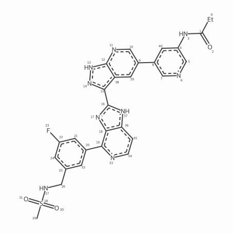 CCC(=O)Nc1cncc(-c2cnc3[nH]nc(-c4nc5c(-c6cc(F)cc(CNS(C)(=O)=O)c6)nccc5[nH]4)c3c2)c1